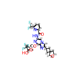 COc1nc(NC(=O)c2cccc(C(F)F)n2)cn2cc(C3CC4(CCOC4)C3)nc12.O=C(O)C(F)(F)F